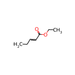 [CH2]C/C=C/C(=O)OCC